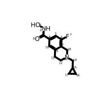 O=C(NO)c1cc(F)c2c(c1)CCN(CC1CC1)C2